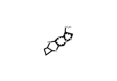 CCOC(=O)c1cnn2cc3c(nc12)NC1CCC1O3